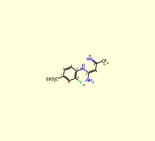 CCOC(=O)c1ccc(N/C(N)=C\C(=N)C(F)(F)F)c(F)c1